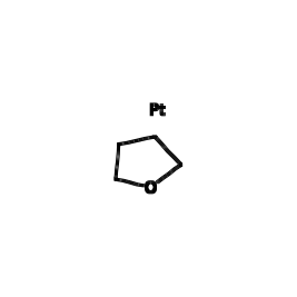 C1CCOC1.[Pt]